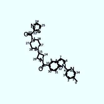 Cc1ccc(-n2ccc3cc(C(=O)N4CC(N5CCN(C(=O)c6nccs6)CC5)C4)ccc32)nc1